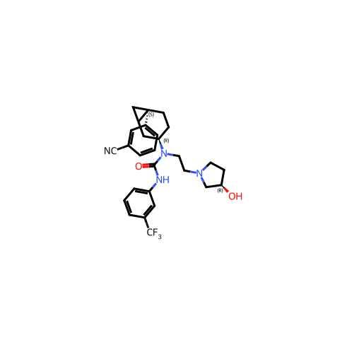 N#Cc1cccc([C@]23CC[C@@H](N(CCN4CC[C@@H](O)C4)C(=O)Nc4cccc(C(F)(F)F)c4)CC2C3)c1